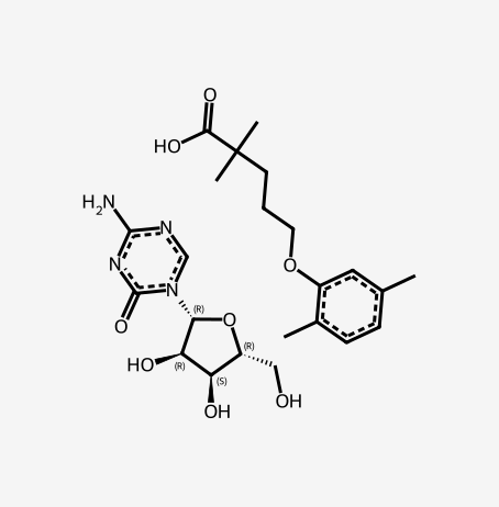 Cc1ccc(C)c(OCCCC(C)(C)C(=O)O)c1.Nc1ncn([C@@H]2O[C@H](CO)[C@@H](O)[C@H]2O)c(=O)n1